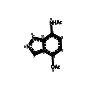 CC(=O)Nc1ccc(OC(C)=O)c2cnsc12